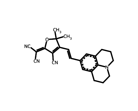 CC1(C)OC(=C(C#N)C#N)C(C#N)=C1/C=C/c1cc2c3c(c1)CCCN3CCC2